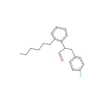 CCCCCCc1ccccc1C(C=O)Cc1ccc(F)cc1